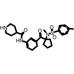 Cc1ccc(S(=O)(=O)N(C)C2(C(=O)C3=CC(NC(=O)C4CCNCC4)=CC[CH]3)CCCC2)cc1